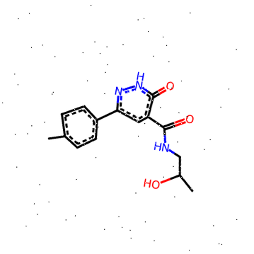 Cc1ccc(-c2cc(C(=O)NCC(C)O)c(=O)[nH]n2)cc1